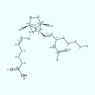 CCCCCC(/C=C/[C@H]1[C@H](C/C=C\CCCC(=O)O)[C@@H]2CC[C@H]1S2)OC(C)=O